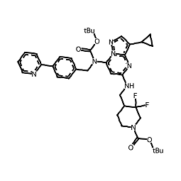 CC(C)(C)OC(=O)N1CCC(CNc2cc(N(Cc3ccc(-c4ccccn4)cc3)C(=O)OC(C)(C)C)n3ncc(C4CC4)c3n2)C(F)(F)C1